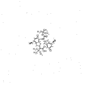 CC(C)(C)N(C(=O)O)C1Cc2cc(Cl)cc(C#N)c2C1.CC(C)(C)OC(=O)N[C@H]1Cc2cc(Cl)cc(C#N)c2C1